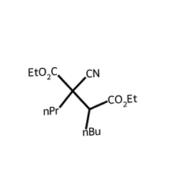 CCCCC(C(=O)OCC)C(C#N)(CCC)C(=O)OCC